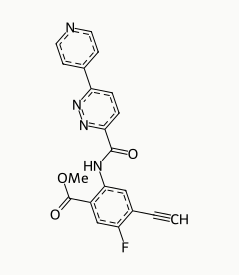 C#Cc1cc(NC(=O)c2ccc(-c3ccncc3)nn2)c(C(=O)OC)cc1F